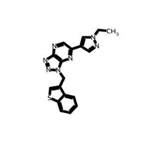 CCn1cc(-c2cnc3nnn(Cc4csc5ccccc45)c3n2)cn1